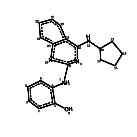 Oc1ccccc1Nc1nc(NC2CCCC2)c2ccccc2n1